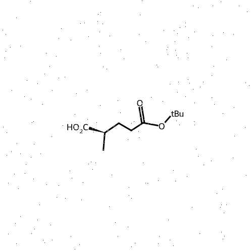 C[C@H](CCC(=O)OC(C)(C)C)C(=O)O